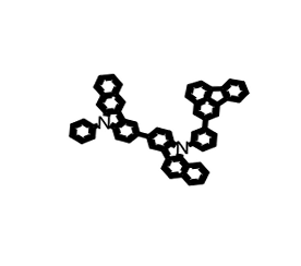 c1ccc(-n2c3ccc(-c4ccc5c(c4)c4ccc6ccccc6c4n5-c4cccc(-c5cc6c7c(cccc7c5)-c5ccccc5-6)c4)cc3c3cc4ccccc4cc32)cc1